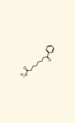 NC(=O)CCCCCCC(=O)c1ccccc1